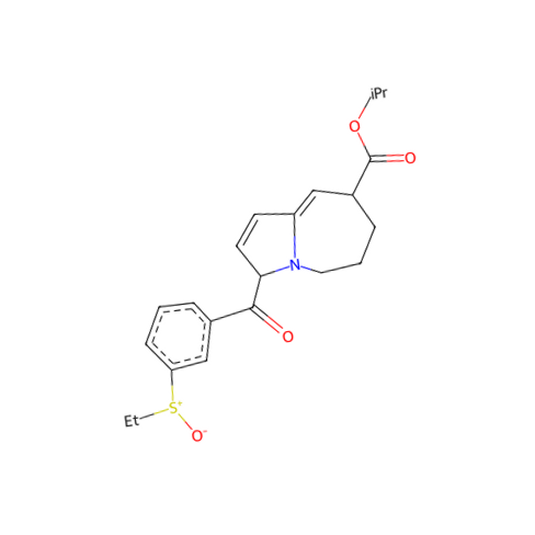 CC[S+]([O-])c1cccc(C(=O)C2C=CC3=CC(C(=O)OC(C)C)CCCN32)c1